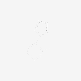 Clc1ccccc1-n1[c]ccn1